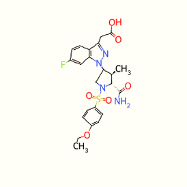 CCOc1ccc(S(=O)(=O)N2C[C@@H](n3nc(CC(=O)O)c4ccc(F)cc43)[C@@H](C)[C@@H]2C(N)=O)cc1